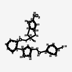 C[C@@]1(COc2ccccc2-n2cc(COc3ccc(F)cc3)nn2)Cc2nc([N+](=O)[O-])cn2C1